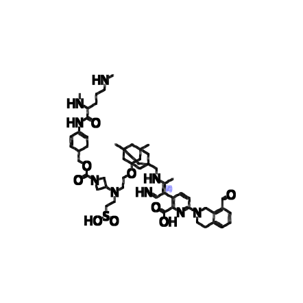 CNCCCC(NC)C(=O)NC1=CCC(COC(=O)N2CC(N(CCOC34CC5(C)CC(C)(CC(CN/C(C)=C(\C=N)c6ccc(N7CCc8cccc(C=O)c8C7)nc6C(=O)O)(C5)C3)C4)CCS(=O)O)C2)C=C1